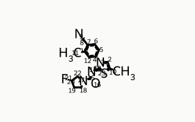 Cc1cn(-c2ccc(C#N)c(C)c2)/c(=N/C(=O)N2CC[C@@H](F)C2)s1